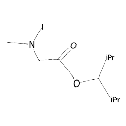 CC(C)C(OC(=O)CN(C)I)C(C)C